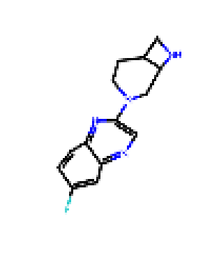 Fc1ccc2nc(N3CCC4CNC4C3)cnc2c1